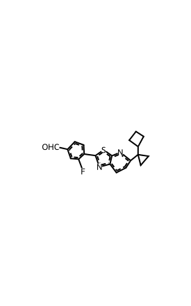 O=Cc1ccc(-c2nc3ccc(C4(C5CCC5)CC4)nc3s2)c(F)c1